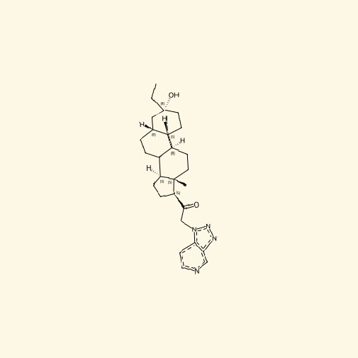 CC[C@@]1(O)CC[C@H]2[C@H](CCC3[C@@H]2CC[C@]2(C)[C@@H](C(=O)Cn4nnc5cnccc54)CC[C@@H]32)C1